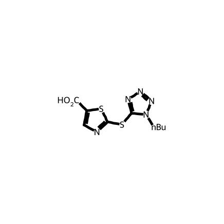 CCCCn1nnnc1Sc1ncc(C(=O)O)s1